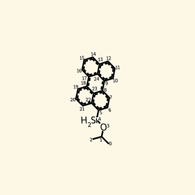 CC(C)O[SiH2]c1ccc2c3cccc4cccc(c5cccc1c52)c43